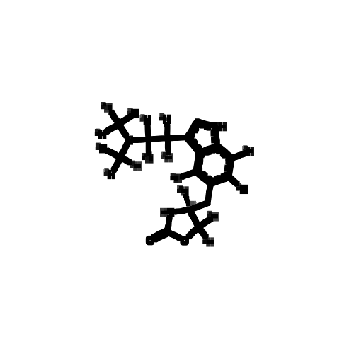 [2H]c1c(C[C@]2([2H])NC(=O)OC2([2H])[2H])c([2H])c2c(C([2H])([2H])C([2H])([2H])N(C([2H])([2H])[2H])C([2H])([2H])[2H])c[nH]c2c1[2H]